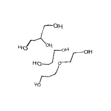 OCC(O)CO.OCCO.OCCOCCO